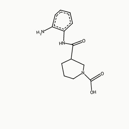 Nc1ccccc1NC(=O)C1CCCN(C(=O)O)C1